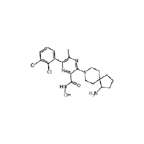 Cc1nc(N2CCC3(CCCC3N)CC2)c(C(=O)NO)nc1-c1cccc(Cl)c1Cl